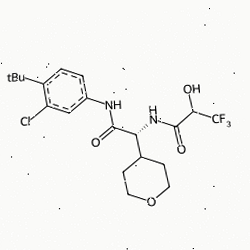 CC(C)(C)c1ccc(NC(=O)[C@H](NC(=O)C(O)C(F)(F)F)C2CCOCC2)cc1Cl